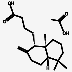 C=C1CC[C@H]2C(C)(C)CCC[C@]2(C)[C@H]1CCCC(=O)O.CC(=O)O